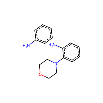 Nc1ccccc1.Nc1ccccc1N1CCOCC1